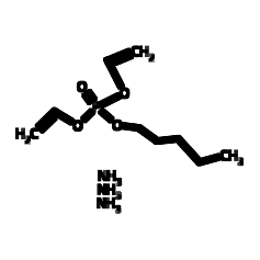 C=COP(=O)(OC=C)OCCCCC.N.N.N